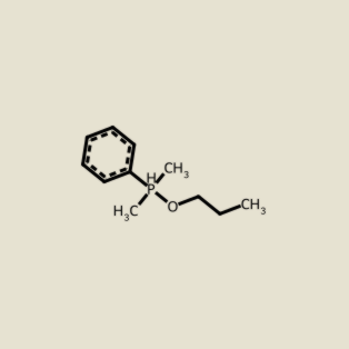 CCCO[PH](C)(C)c1ccccc1